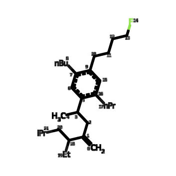 C=C(CC(C)c1cc(CCCC)c(CCCCF)cc1CCC)C(CC)CC(C)C